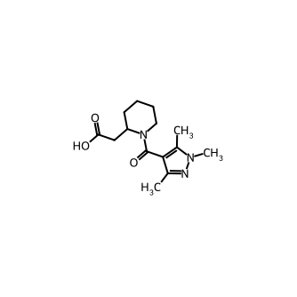 Cc1nn(C)c(C)c1C(=O)N1CCCCC1CC(=O)O